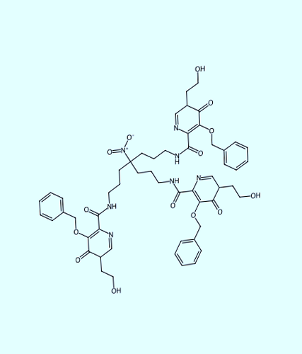 O=C(NCCCC(CCCNC(=O)C1=C(OCc2ccccc2)C(=O)C(CCO)C=N1)(CCCNC(=O)C1=C(OCc2ccccc2)C(=O)C(CCO)C=N1)[N+](=O)[O-])C1=C(OCc2ccccc2)C(=O)C(CCO)C=N1